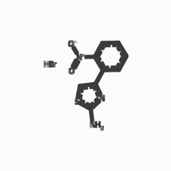 Br.Nc1nc(-c2ccccc2[N+](=O)[O-])cs1